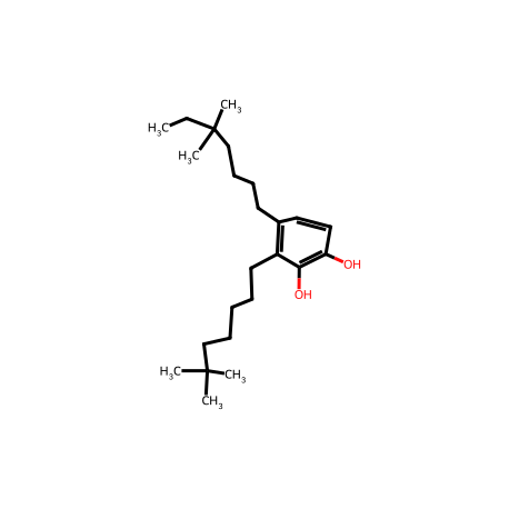 CCC(C)(C)CCCCc1ccc(O)c(O)c1CCCCCC(C)(C)C